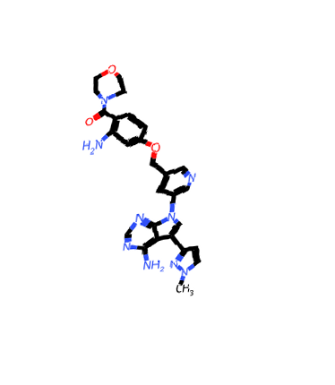 Cn1ccc(-c2cn(-c3cncc(COc4ccc(C(=O)N5CCOCC5)c(N)c4)c3)c3ncnc(N)c23)n1